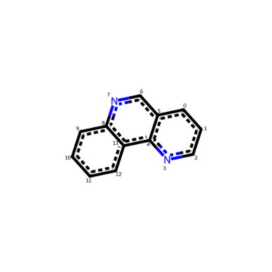 [c]1ccnc2c1cnc1ccccc12